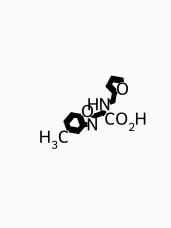 Cc1ccc2oc(C(NCc3ccco3)C(=O)O)nc2c1